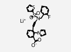 O=C([O-])c1cccc(C#CN(Cc2ccccc2F)S(=O)(=O)c2cccs2)c1-n1cccc1.[Li+]